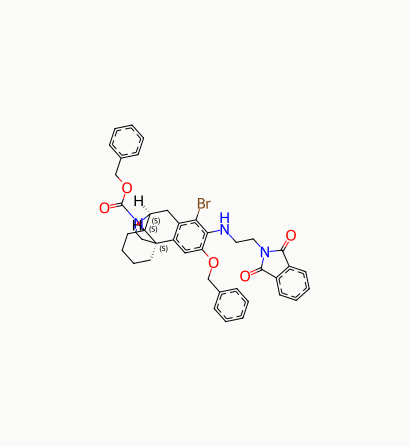 O=C1c2ccccc2C(=O)N1CCNc1c(OCc2ccccc2)cc2c(c1Br)C[C@H]1[C@H]3CCCC[C@@]23CCN1C(=O)OCc1ccccc1